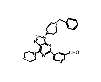 O=Cc1cncc(-c2nc(N3CCOCC3)c3nnn(C4CCN(Cc5ccccc5)CC4)c3n2)c1